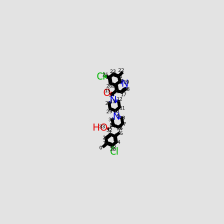 Cc1ccc(C[C@H]2CCN(C3CCN(C(=O)c4ccnc5c(C)cc(Cl)cc45)CC3)C[C@H]2CO)cc1Cl